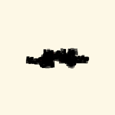 COC(=O)N[C@H](C(=O)N1[C@H](c2ncc(-c3ccc4c(c3)COc3cc5c(ccc6nc([C@@H]7C[C@H](COC(F)F)CN7C(=O)[C@H](NC(=O)OC)c7ccccc7)[nH]c65)cc3-4)[nH]2)C2[C@@H]3[C@H]1[C@]23C)C(C)C